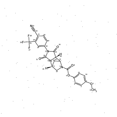 COc1ccc(OC(=O)N2C[C@H]3CC2[C@H]2C(=O)N(c4ccc(C#N)c(C(F)(F)F)c4)C(=O)N32)cc1